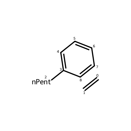 C=C.CCCCCc1ccccc1